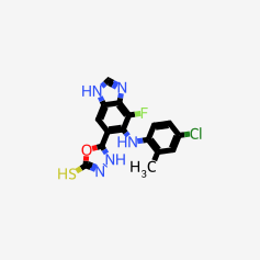 Cc1cc(Cl)ccc1Nc1c(C2NN=C(S)O2)cc2[nH]cnc2c1F